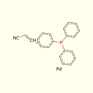 C=CC#N.[Pd].c1ccc(P(c2ccccc2)c2ccccc2)cc1